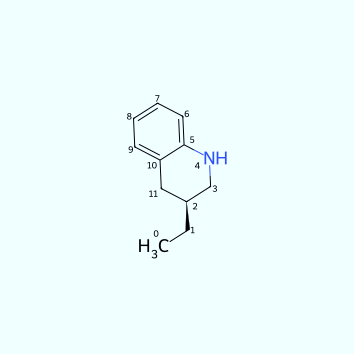 CC[C@@H]1CNc2ccccc2C1